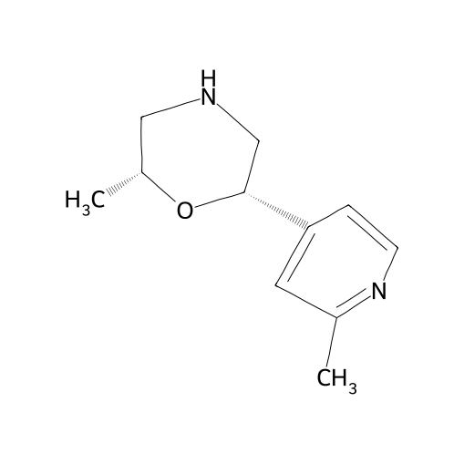 Cc1cc([C@H]2CNC[C@@H](C)O2)ccn1